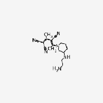 CC(=C(C#N)C#N)/C(C#N)=C(\C)N1CCCC(NCCN)C1